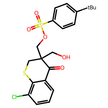 CC(C)(C)c1ccc(S(=O)(=O)OCC2(CO)CSc3c(Cl)cccc3C2=O)cc1